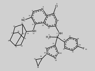 BC(Nc1cc(Cl)c2ncc(C#N)c(NC3C4CC5CC(C4)CC3C5)c2c1)(c1ccc(F)cc1)c1cn(C2CC2)nn1